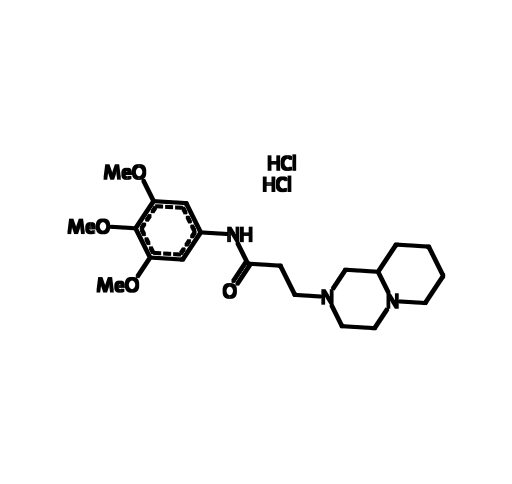 COc1cc(NC(=O)CCN2CCN3CCCCC3C2)cc(OC)c1OC.Cl.Cl